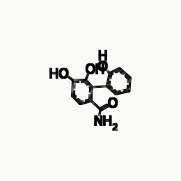 NC(=O)c1ccc(O)c(O)c1-c1ccccc1O